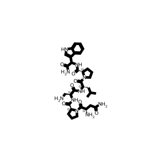 CC(C)C[C@H](NC(=O)[C@H](CN)NC(=O)[C@@H]1CCCN1C(=O)[C@@H](N)CC(N)=O)C(=O)N1CCC[C@H]1C(=O)NC(C(N)=O)c1c[nH]c2ccccc12